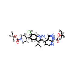 CC(C)c1c(-c2ccnc3c2cnn3C(=O)OC(C)(C)C)[nH]c2cc(Cl)c(C3CCN(C(=O)OC(C)(C)C)CC3)cc12